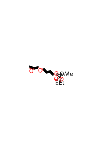 CCO[Si](OC)(OCC)OCCCCOCC1CO1